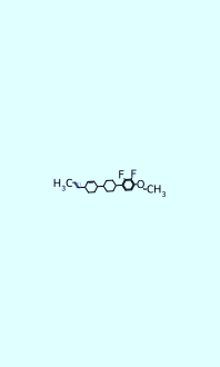 C/C=C/C1C=CC(C2CCC(c3ccc(OCC)c(F)c3F)CC2)CC1